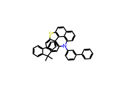 CC1(C)c2ccccc2-c2ccc(N(c3cccc(-c4ccccc4)c3)c3cccc4ccc5sc6ccccc6c5c34)cc21